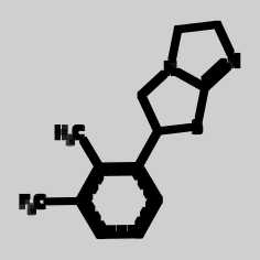 Cc1c(C2CN3CCN=C3S2)cccc1C(F)(F)F